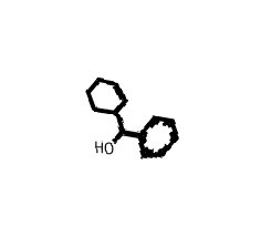 OC(c1ccccc1)C1C=CCCC1